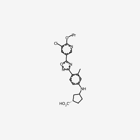 Cc1cc(NC2CC[C@H](C(=O)O)C2)ccc1-c1noc(-c2cnc(OC(C)C)c(Cl)c2)n1